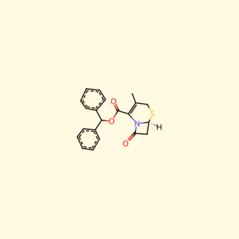 CC1=C(C(=O)OC(c2ccccc2)c2ccccc2)N2C(=O)C[C@@H]2SC1